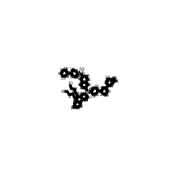 CCCCCC1(CCCCC)c2cc(C)ccc2-c2ccc(N(c3ccc(-c4cccc(-c5ccc6c(c5)CC6)c4)cc3)c3ccc4cc(N(C)c5ccc(-c6ccccc6)cc5)ccc4c3)cc21